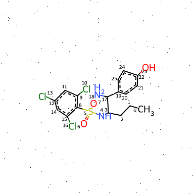 CCCC(NS(=O)(=O)c1c(Cl)cc(Cl)cc1Cl)C(N)c1ccc(O)cc1